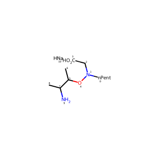 CCCCCN(CC(=O)O)OC(C)C(C)N.[NaH]